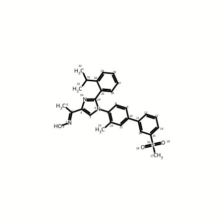 CC(=NO)c1cn(-c2ccc(-c3cccc(S(C)(=O)=O)c3)cc2C)c(-c2ccccc2C(C)C)n1